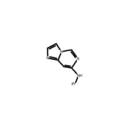 CC(C)Nc1cc2nccn2cn1